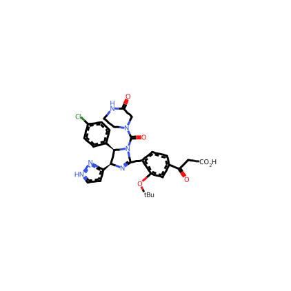 CC(C)(C)Oc1cc(C(=O)CC(=O)O)ccc1C1=N[C@@H](c2cc[nH]n2)[C@@H](c2ccc(Cl)cc2)N1C(=O)N1CCNC(=O)C1